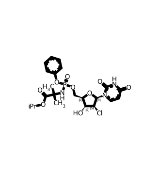 CC(C)OC(=O)C(C)(C)NP(=O)(OC[C@H]1O[C@@H](n2ccc(=O)[nH]c2=O)[C@@H](Cl)[C@@H]1O)Oc1ccccc1